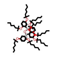 CCCCCC(C)(C)Oc1ccc(OC(C)(C)CCCCC)c([SiH](O[SiH](c2cc(OC(C)(C)CCCCC)ccc2OC(C)(C)CCCCC)c2cc(OC(C)(C)CCCCC)ccc2OC(C)(C)CCCCC)c2cc(OC(C)(C)CCCCC)ccc2OC(C)(C)CCCCC)c1